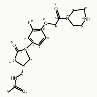 CC(=O)NC[C@H]1CN(c2ccc(OCC(=O)N3CCNCC3)c(F)c2)C(=O)O1